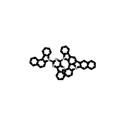 c1ccc2cc3c(cc2c1)c1cc2c4ccccc4n(-c4nc(-n5c6ccccc6c6c7ccccc7ccc65)nc5c4sc4ccccc45)c2c2c4ccccc4n3c12